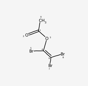 CC(=O)OC(Br)=C(Br)Br